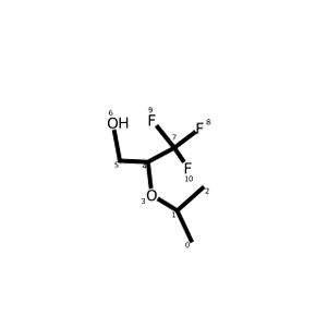 CC(C)OC(CO)C(F)(F)F